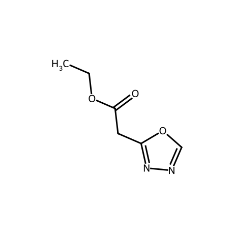 CCOC(=O)Cc1nnco1